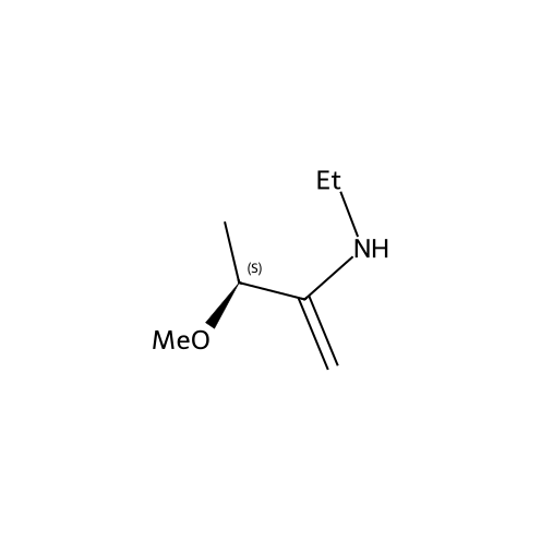 C=C(NCC)[C@H](C)OC